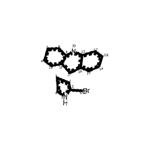 Brc1ccc[nH]1.c1ccc2nc3ccccc3cc2c1